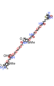 COc1cc(C(C)NC(=O)CCOCCOCCOCCOCC(NC(=O)CCCOc2cc([N+](=O)[O-])c(C(C)N)cc2OC)OC=O)c([N+](=O)[O-])cc1OCCCC(=O)NCCOCCOCCOCCNC(=O)CCCC[C@@H]1SC[C@@H]2NC(=O)N[C@@H]21